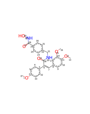 COc1ccc(C(=Cc2ccc(OC)c(OC)c2)C(=O)NCc2ccc(C(=O)NO)cc2)cc1